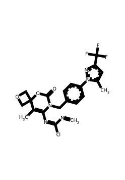 C=N/C(Cl)=N\C1=C(C)C2(COC2)OC(=O)N1Cc1ccc(-n2nc(C(F)(F)F)cc2C)cc1